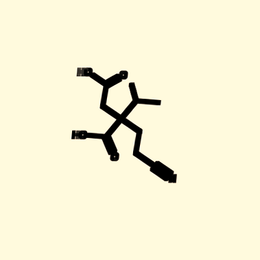 CC(C)C(CCC#N)(CC(=O)O)C(=O)O